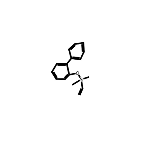 C=C[Si](C)(C)Oc1ccccc1-c1ccccc1